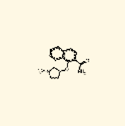 CN1CCC(Oc2c(C(N)=O)ccc3ccccc23)C1